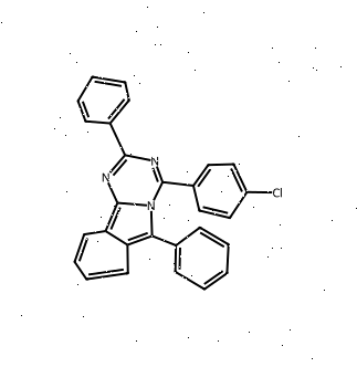 Clc1ccc(-c2nc(-c3ccccc3)nc3c4ccccc4c(-c4ccccc4)n23)cc1